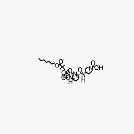 CCCCCCCOC(=O)C(C)(C)COS(=O)(=O)ON1C(=O)N2C[C@H]1CC[C@H]2C(=O)NC1CCN(C(=O)O)CC1